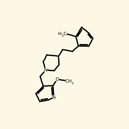 COc1ncccc1CN1CCC(CCc2ccccc2C)CC1